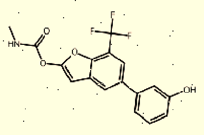 CNC(=O)Oc1cc2cc(-c3cccc(O)c3)cc(C(F)(F)F)c2o1